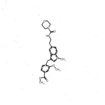 COC(=O)c1ccc(Cc2cn(C)c3ccc(CCNC(=O)N4CCOCC4)cc23)c(OC)c1